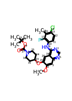 COc1cc2ncnc(Nc3ccc(Cl)c(C)c3F)c2cc1OC1CCN(C(=O)OC(C)(C)C)CC1